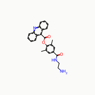 Cc1cc(C(=O)NCCN)cc(C)c1OC(=O)c1c2ccccc2nc2ccccc12